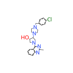 Cc1nc(N2C[C@H](O)[C@@H](N3CCN(Cc4ccc(Cl)cc4)CC3)C2)c2ccccc2n1